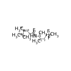 CC(CCC(C)(F)F)C(C)NC(F)CC[C@@H](C)C(C)C